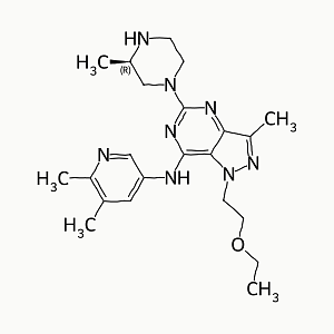 CCOCCn1nc(C)c2nc(N3CCN[C@H](C)C3)nc(Nc3cnc(C)c(C)c3)c21